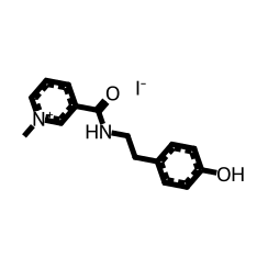 C[n+]1cccc(C(=O)NCCc2ccc(O)cc2)c1.[I-]